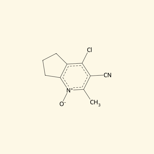 Cc1c(C#N)c(Cl)c2c([n+]1[O-])CCC2